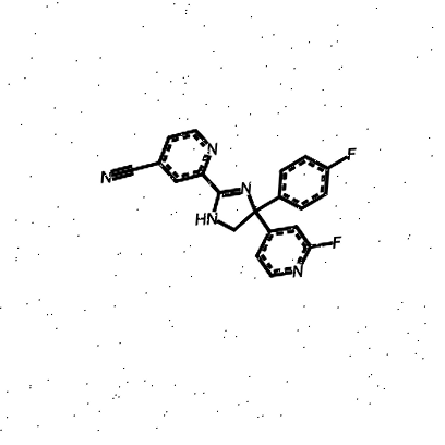 N#Cc1ccnc(C2=NC(c3ccc(F)cc3)(c3ccnc(F)c3)CN2)c1